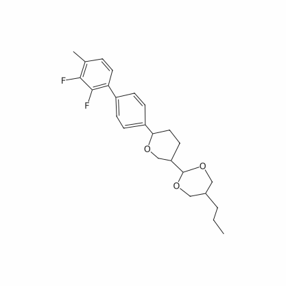 CCCC1COC(C2CCC(c3ccc(-c4ccc(C)c(F)c4F)cc3)OC2)OC1